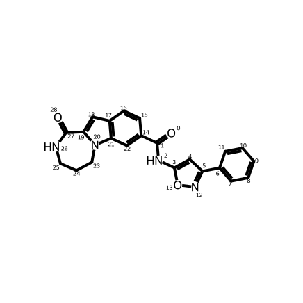 O=C(Nc1cc(-c2ccccc2)no1)c1ccc2cc3n(c2c1)CCCNC3=O